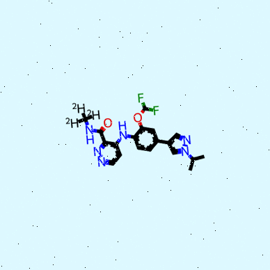 [2H]C([2H])([2H])NC(=O)c1nnccc1Nc1ccc(-c2cnn(C(C)C)c2)cc1OC(F)F